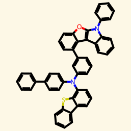 c1ccc(-c2ccc(N(c3cccc(-c4cccc5oc6c(c7ccccc7n6-c6ccccc6)c45)c3)c3cccc4c3sc3ccccc34)cc2)cc1